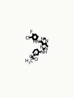 CS(=O)(=O)N1CCCC(Nc2ncc3ncnc(Nc4ccc(F)c(Cl)c4)c3n2)C1